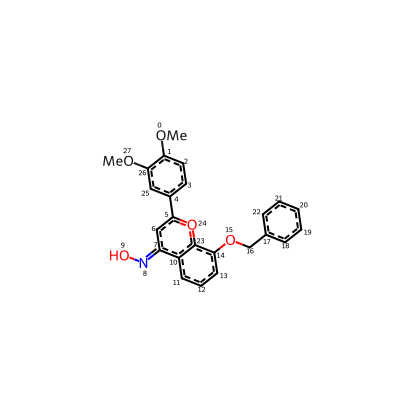 COc1ccc(-c2c/c(=N\O)c3cccc(OCc4ccccc4)c3o2)cc1OC